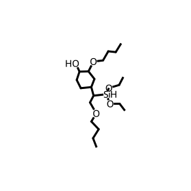 CCCCOCC(C1CCC(O)C(OCCCC)C1)[SiH](OCC)OCC